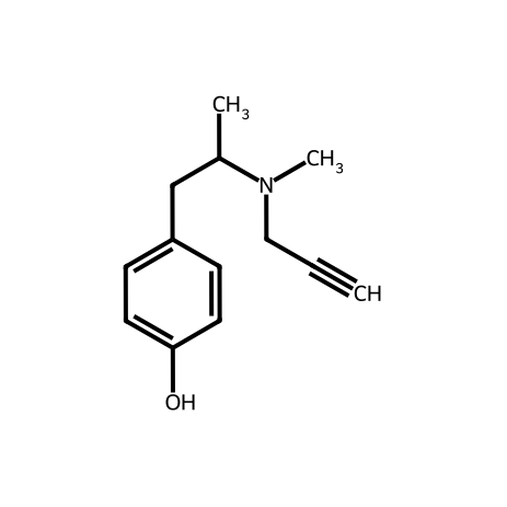 C#CCN(C)C(C)Cc1ccc(O)cc1